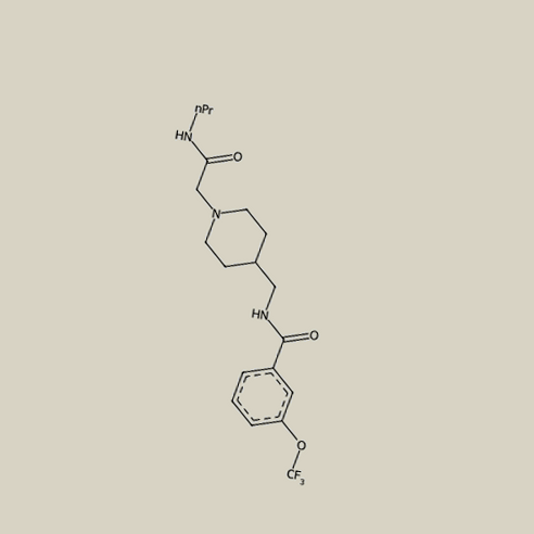 CCCNC(=O)CN1CCC(CNC(=O)c2cccc(OC(F)(F)F)c2)CC1